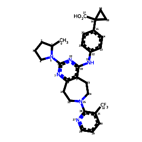 CC1CCCN1c1nc2c(c(Nc3ccc(C4(C(=O)O)CC4)cc3)n1)CCN(c1ncccc1C(F)(F)F)CC2